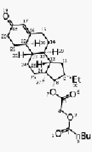 CCCCC(=O)OCC(=O)O[C@H]1[C@@H](CC)C[C@H]2[C@@H]3CCC4=CC(=O)CC[C@@H]4[C@H]3CC[C@@]21C